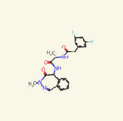 C[C@H](NC(=O)Cc1cc(F)cc(F)c1)C(=O)N[C@@H]1C(=O)N(C)N=Cc2ccccc21